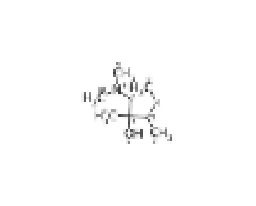 CCC(C)C(C)(O)CN(C)C